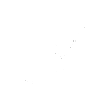 CC(=O)OCCC[C@]1(O)CC[C@H]2[C@H]3[C@H](CC[C@@]21C)[C@H]1CCC(=O)C=C1C[C@H]3SC(C)=O